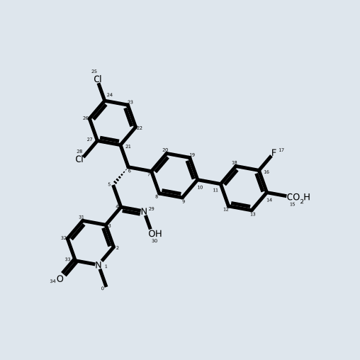 Cn1cc(C(C[C@@H](c2ccc(-c3ccc(C(=O)O)c(F)c3)cc2)c2ccc(Cl)cc2Cl)=NO)ccc1=O